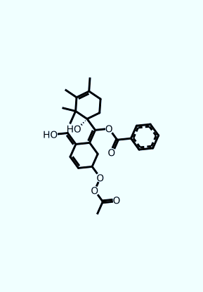 CC(=O)OOC1C=CC(=CO)/C(=C(/OC(=O)c2ccccc2)[C@]2(O)CCC(C)=C(C)C2(C)C)C1